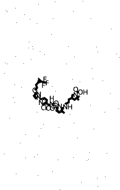 Cc1ccc(S(=O)(=O)NC(=O)c2ccc(-n3ccc(OCCC4CC4C(F)(F)F)n3)nc2Cl)nc1NCCCC1CN(C(=O)O)C(C)(C)C1